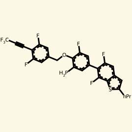 CCCc1cc2cc(F)c(-c3cc(F)c(OCc4cc(F)c(C#CC(F)(F)F)c(F)c4)c(P)c3)c(F)c2s1